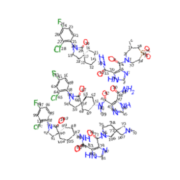 CC1CN(C(=O)c2nc[nH]c2C(=O)N[C@H]2CC[C@@]3(CCN(c4ccc(F)cc4Cl)C3=O)CC2)CCS(=O)(=O)C1.CN(C(=O)c1nc[nH]c1C(N)=O)[C@H]1CC[C@]2(CCN(c3ccc(F)cc3Cl)C2=O)CC1.CN1CC2(CCN(C(=O)c3nc[nH]c3C(=O)N[C@H]3CC[C@@]4(CCN(c5ccc(F)cc5Cl)C4=O)CC3)C2)C1